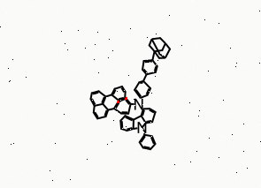 c1ccc(-c2cccc3cccc(-c4ccc(N(c5ccc(-c6ccc(C78CC9CC(CC(C9)C7)C8)cc6)cc5)c5cccc6c5c5ccccc5n6-c5ccccc5)cc4)c23)cc1